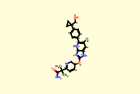 CC(C)(C(N)=O)C1=NCC(OC2=NC3NC(c4ccc(C5(CO)CC5)cc4)=C(Cl)C=C3N2)C=C1